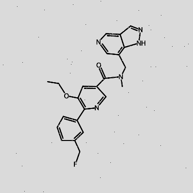 CCOc1cc(C(=O)N(C)Cc2cncc3cn[nH]c23)cnc1-c1cccc(CF)c1